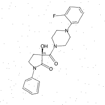 O=C(N1CCN(c2ccccc2F)CC1)[C@@]1(O)CCN(c2ccccc2)C1=O